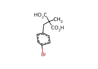 CC(Cc1ccc(Br)cc1)(C(=O)O)C(=O)O